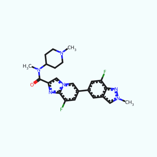 CN1CCC(N(C)C(=O)c2cn3cc(-c4cc(F)c5nn(C)cc5c4)cc(F)c3n2)CC1